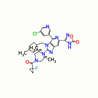 CC1CCC(Cn2c(N3[C@H](C)CN(C(=O)C4(F)CC4)C[C@H]3C)nc3cc(-c4noc(=O)[nH]4)nc(-c4cncc(Cl)c4)c32)CC1